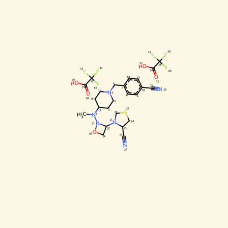 CN(C1CCN(Cc2ccc(C#N)cc2)CC1)N1OCC1N1CSCC1C#N.O=C(O)C(F)(F)F.O=C(O)C(F)(F)F